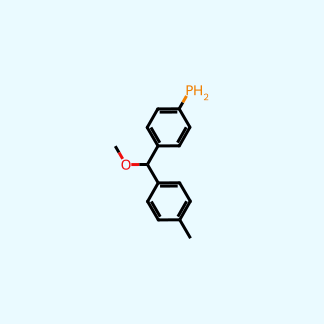 COC(c1ccc(C)cc1)c1ccc(P)cc1